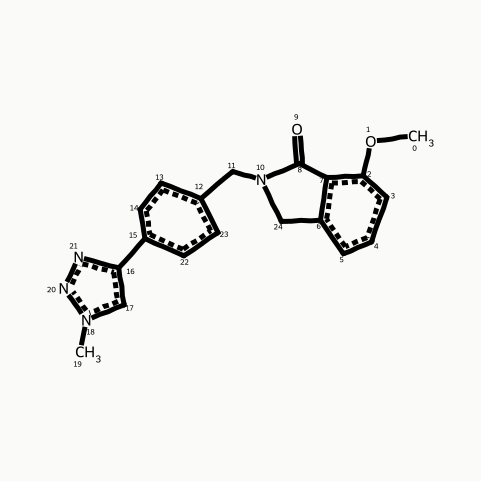 COc1cccc2c1C(=O)N(Cc1ccc(-c3cn(C)nn3)cc1)C2